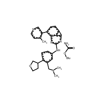 CC(C)(C)OC(N)=O.Cc1ccncc1-c1ccc2c3c-2nc(Nc2ccc(C4CCOC4)c(CN(C)C)c2)nc13